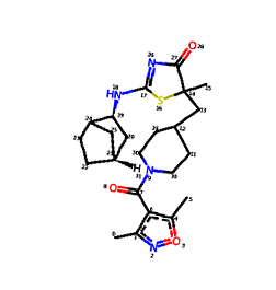 Cc1noc(C)c1C(=O)N1CCC(CC2(C)SC(N[C@H]3C[C@@H]4CCC3C4)=NC2=O)CC1